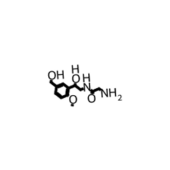 COc1ccc(CO)cc1C(O)CNC(=O)CN